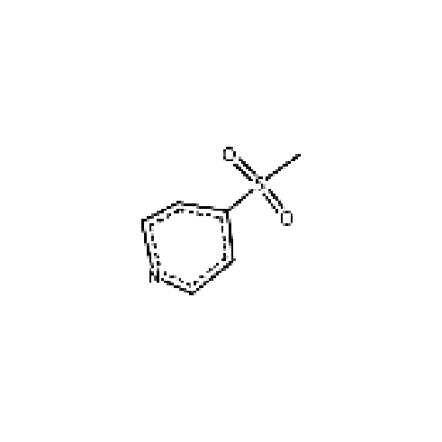 CS(=O)(=O)c1[c]cncc1